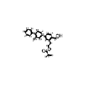 C=C(C)C(=O)OCCc1cc(-c2ccc(-c3ccccc3)c(F)c2)ccc1CO